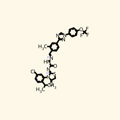 Cc1cc(-c2ncn(-c3ccc(OC(F)(F)F)cc3)n2)ccc1/C=N/NC(=O)/N=C1\SCC(=O)N1c1cc(Cl)ccc1C(C)C